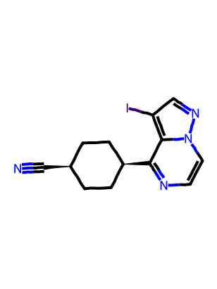 N#C[C@H]1CC[C@@H](c2nccn3ncc(I)c23)CC1